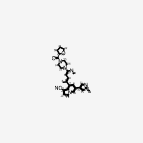 C=N/C(=C\C=C(/C)c1cc(-c2cnn(C)c2)cn2ncc(C#N)c12)N1CCN(C(=O)[C@H]2CCCO2)CC1